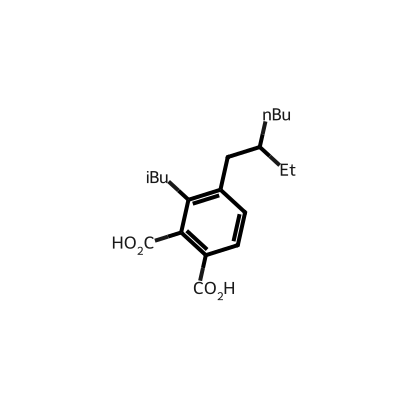 CCCCC(CC)Cc1ccc(C(=O)O)c(C(=O)O)c1C(C)CC